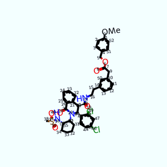 COc1ccc(COC(=O)Cc2cccc(CCNC(=O)[C@@H]3c4ccccc4C(=O)N([C@H]4CCCC[C@@H]4NS(C)(=O)=O)[C@H]3c3ccc(Cl)cc3Cl)c2)cc1